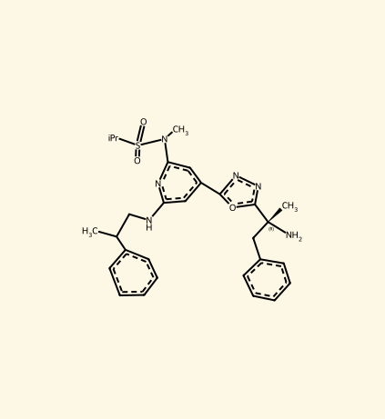 CC(CNc1cc(-c2nnc([C@](C)(N)Cc3ccccc3)o2)cc(N(C)S(=O)(=O)C(C)C)n1)c1ccccc1